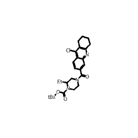 CCC1CN(C(=O)c2ccc3c(Cl)c4c(nc3c2)CCCC4)CCN1C(=O)OC(C)(C)C